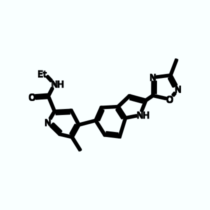 CCNC(=O)c1cc(-c2ccc3[nH]c(-c4nc(C)no4)cc3c2)c(C)cn1